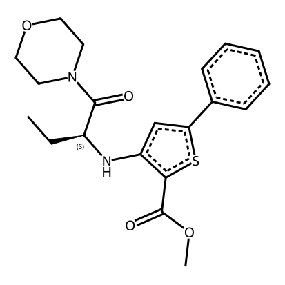 CC[C@H](Nc1cc(-c2ccccc2)sc1C(=O)OC)C(=O)N1CCOCC1